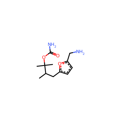 CC(Cc1ccc(CN)o1)C(C)(C)OC(N)=O